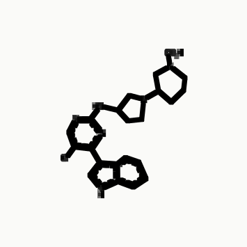 O=C(O)N1CCCC(N2CCC(Nc3ncc(Cl)c(-c4c[nH]c5ccccc45)n3)C2)C1